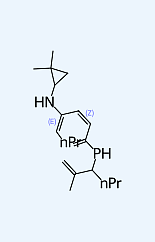 C=C(/C=C\C(=C/CCC)NC1CC1(C)C)PC(CCC)C(=C)C